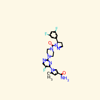 Cc1cc(C(N)=O)cn1-c1nc(N2CCN(C(=O)N3N=CCC3c3cc(F)cc(F)c3)CC2)ncc1F